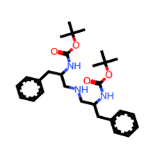 CC(C)(C)OC(=O)NC(CNCC(Cc1ccccc1)NC(=O)OC(C)(C)C)Cc1ccccc1